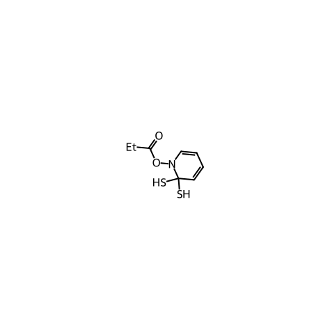 CCC(=O)ON1C=CC=CC1(S)S